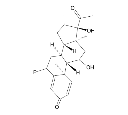 CC(=O)[C@@]1(O)C(C)C[C@H]2[C@@H]3CC(F)C4=CC(=O)C=C[C@]4(C)[C@H]3C(O)C[C@@]21C